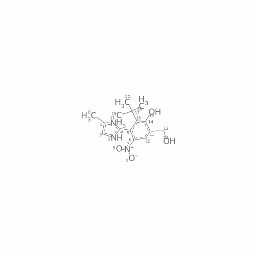 Cc1c[nH]c(-c2c([N+](=O)[O-])cc(CO)c(O)c2C(C)(C)C)n1